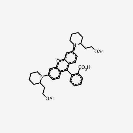 CC(=O)OCCC1CCCCN1c1ccc2c(-c3ccccc3C(=O)O)c3cc/c(=[N+]4/CCCCC4CCOC(C)=O)cc-3oc2c1